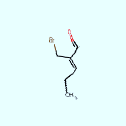 CCC=C([C]=O)CBr